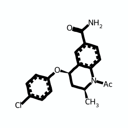 CC(=O)N1c2ccc(C(N)=O)cc2[C@H](Oc2ccc(Cl)cc2)C[C@@H]1C